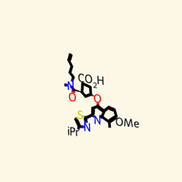 C=CCCCN(C)C(=O)[C@@H]1C[C@H](Oc2cc(-c3nc(C(C)C)cs3)nc3c(C)c(OC)ccc23)C[C@H]1C(=O)O